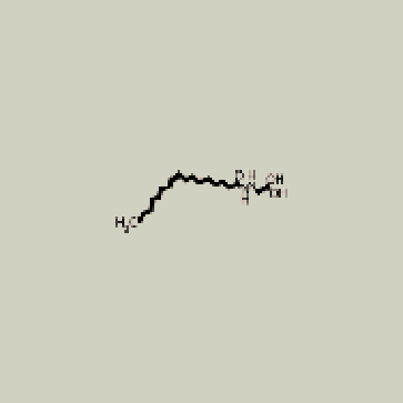 CCCCCCCC/C=C\CCCCCCCC(=O)NNCC(O)O